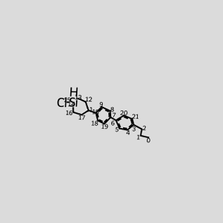 CCCc1ccc(-c2ccc(C3CC[SiH](Cl)CC3)cc2)cc1